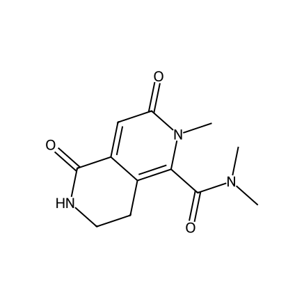 CN(C)C(=O)c1c2c(cc(=O)n1C)C(=O)NCC2